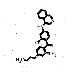 CCCCc1ccc(C(=S)c2ccc(Nc3cncc4ccccc34)cc2Cl)c(C)c1